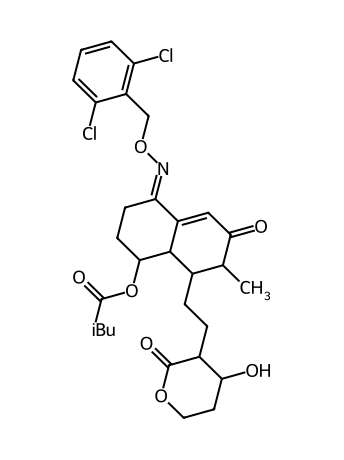 CCC(C)C(=O)OC1CCC(=NOCc2c(Cl)cccc2Cl)C2=CC(=O)C(C)C(CCC3C(=O)OCCC3O)C21